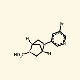 O=C(O)N1C[C@@H]2C[C@H]1CN2c1cncc(Br)c1